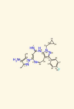 Cc1nn(C2=C/C(=N)Nc3c(c(-c4ccc(F)cc4)nn3CC3CC3)C/C=N\2)c(C)c1N